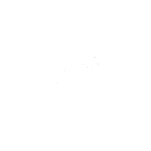 O=C(/C=C/c1ccc2c(c1)OCO2)c1ccc(-c2ccc(F)cc2)cc1